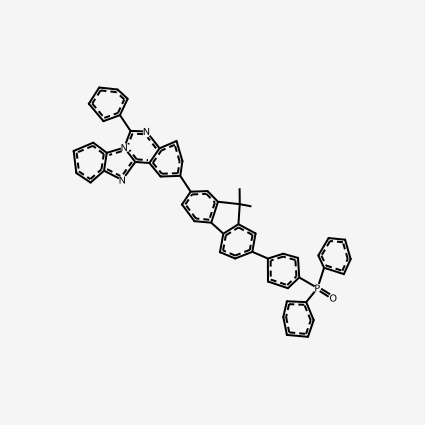 CC1(C)c2cc(-c3ccc(P(=O)(c4ccccc4)c4ccccc4)cc3)ccc2-c2ccc(-c3ccc4nc(-c5ccccc5)n5c6ccccc6nc5c4c3)cc21